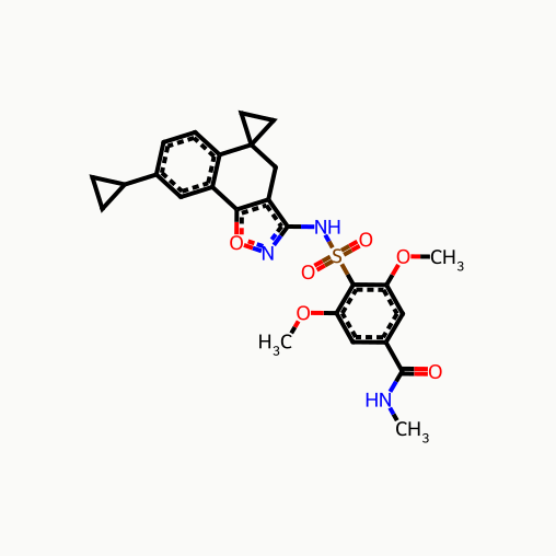 CNC(=O)c1cc(OC)c(S(=O)(=O)Nc2noc3c2CC2(CC2)c2ccc(C4CC4)cc2-3)c(OC)c1